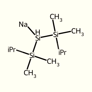 CC(C)[Si](C)(C)[SiH]([Na])[Si](C)(C)C(C)C